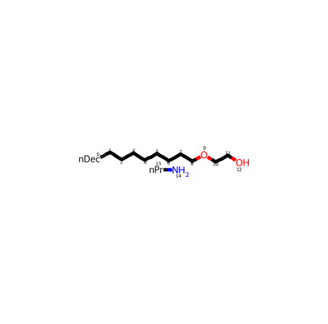 CCCCCCCCCCCCCCCCCCOCCO.CCCN